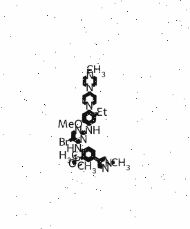 CCc1cc(Nc2ncc(Br)c(Nc3ccc(-c4cnn(C)c4)cc3P(C)(C)=O)n2)c(OC)cc1N1CCC(N2CCN(C)CC2)CC1